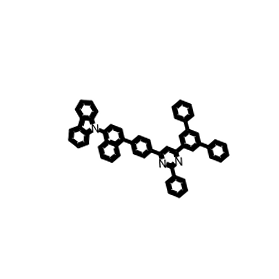 c1ccc(-c2cc(-c3ccccc3)cc(-c3cc(-c4ccc(-c5ccc(-n6c7ccccc7c7ccccc76)c6ccccc56)cc4)nc(-c4ccccc4)n3)c2)cc1